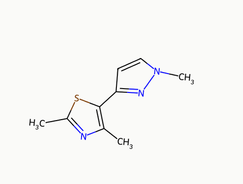 Cc1nc(C)c(-c2ccn(C)n2)s1